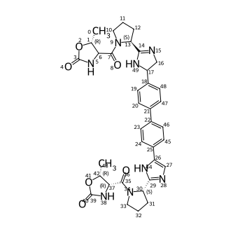 C[C@H]1OC(=O)NC1C(=O)N1CCC[C@H]1C1=NCC(c2ccc(-c3ccc(-c4cnc([C@@H]5CCCN5C(=O)[C@@H]5NC(=O)O[C@@H]5C)[nH]4)cc3)cc2)N1